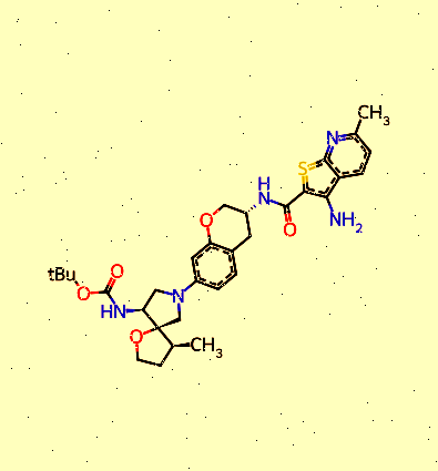 Cc1ccc2c(N)c(C(=O)N[C@H]3COc4cc(N5C[C@H](NC(=O)OC(C)(C)C)[C@@]6(C5)OCC[C@@H]6C)ccc4C3)sc2n1